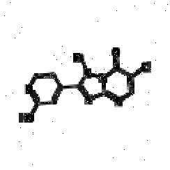 CCn1c(-c2ccnc(O)c2)nc2ncc(Cl)c(=O)n21